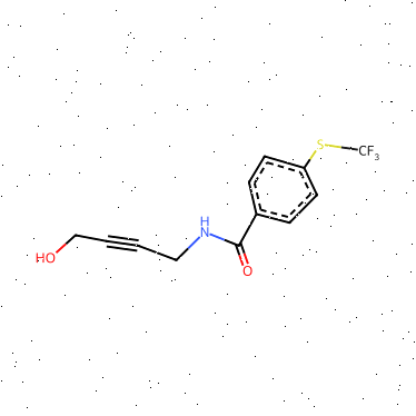 O=C(NCC#CCO)c1ccc(SC(F)(F)F)cc1